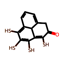 O=C1CC2=CC=CC3=C(S)C(S)=C(S)C(=C1S)C23